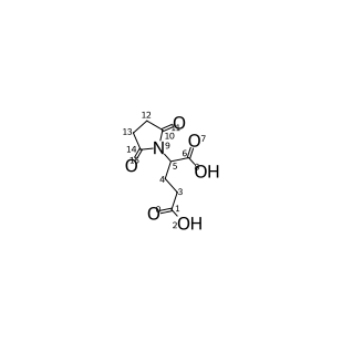 O=C(O)CCC(C(=O)O)N1C(=O)CCC1=O